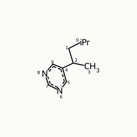 CC(C)CC(C)c1cncnc1